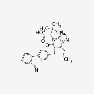 CCCc1c(Cc2ccc(-c3ccccc3C#N)cc2)c(=O)n(C(C(=O)O)C(C)(C)C)c2ncnn12